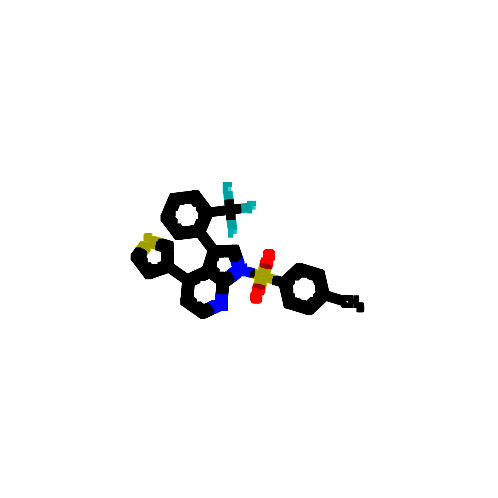 Cc1ccc(S(=O)(=O)n2cc(-c3ccccc3C(F)(F)F)c3c(-c4ccsc4)ccnc32)cc1